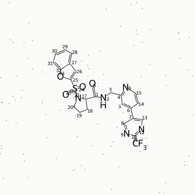 O=C(NCc1cc(-c2cnc(C(F)(F)F)nc2)ccn1)C1CCCN1S(=O)(=O)c1cc2ccccc2o1